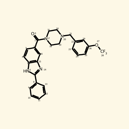 O=C(c1ccc2[nH]c(-c3ccccc3)nc2c1)N1CCN(Cc2cccc(OC(F)(F)F)c2)CC1